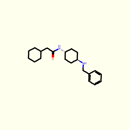 O=C(CC1CCCCC1)N[C@H]1CC[C@H](NCc2ccccc2)CC1